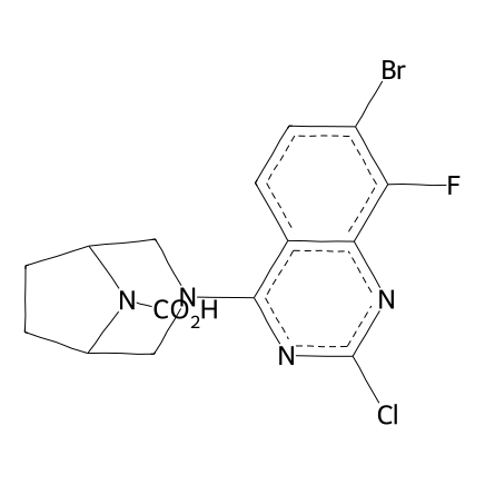 O=C(O)N1C2CCC1CN(c1nc(Cl)nc3c(F)c(Br)ccc13)C2